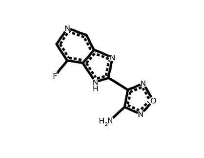 Nc1nonc1-c1nc2cncc(F)c2[nH]1